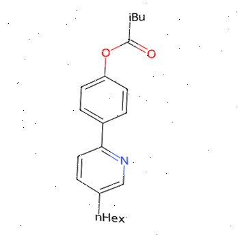 CCCCCCc1ccc(-c2ccc(OC(=O)C(C)CC)cc2)nc1